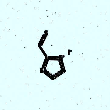 S=Cc1scc[s+]1.[I-]